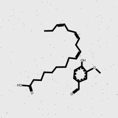 CC/C=C\C/C=C\C/C=C\CCCCCCCC(=O)O.COc1cc(C=O)ccc1O